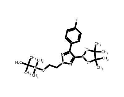 CC1(C)OB(c2nn(CCO[Si](C)(C)C(C)(C)C)nc2-c2ccc(F)cc2)OC1(C)C